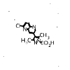 Cc1nn(C(=O)O)c(C)c1-c1cnc2ccc(Cl)nc2c1